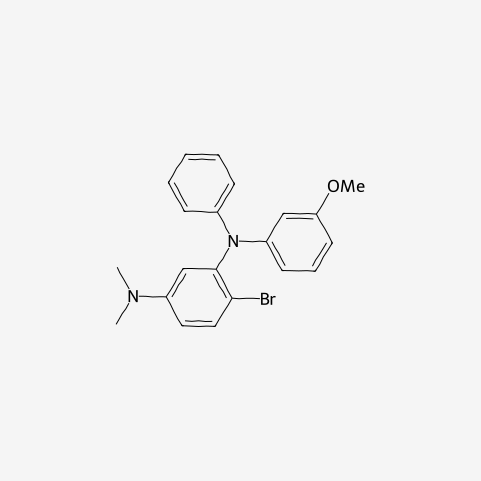 COc1cccc(N(c2ccccc2)c2cc(N(C)C)ccc2Br)c1